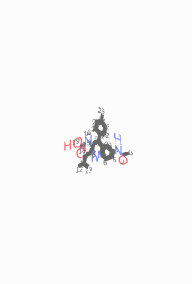 CC(=O)Nc1ccc2nc(CC(C)C)c(N(C)C(=O)O)c(-c3ccc(C)cc3)c2c1